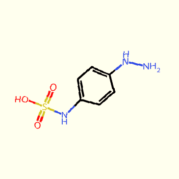 NNc1ccc(NS(=O)(=O)O)cc1